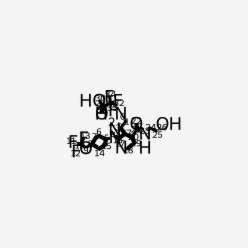 NCc1nn(-c2ccc(OC(F)(F)F)cc2)c2nccc(C(=O)NCCO)c12.O=C(O)C(F)(F)F